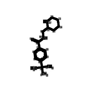 CC(C)(C)c1ccc(C(=O)NCC2CCCCN2)cc1